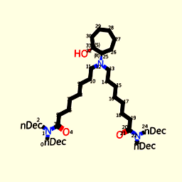 CCCCCCCCCCN(CCCCCCCCCC)C(=O)CCCCCCCN(CCCCCCCC(=O)N(CCCCCCCCCC)CCCCCCCCCC)[C@@H]1CCCCC[C@@H]1O